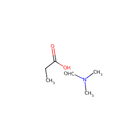 CCC(=O)O.CN(C)C=O